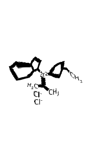 CC1=CC[C]([Zr+2](=[C](C)C)[CH]2C=Cc3ccccc32)=C1.[Cl-].[Cl-]